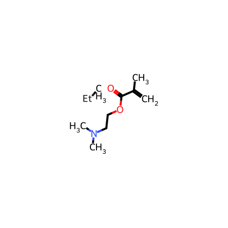 C=C(C)C(=O)OCCN(C)C.CCC